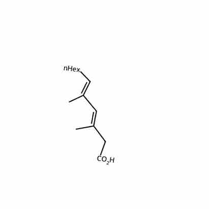 CCCCCC/C=C(C)/C=C(\C)CC(=O)O